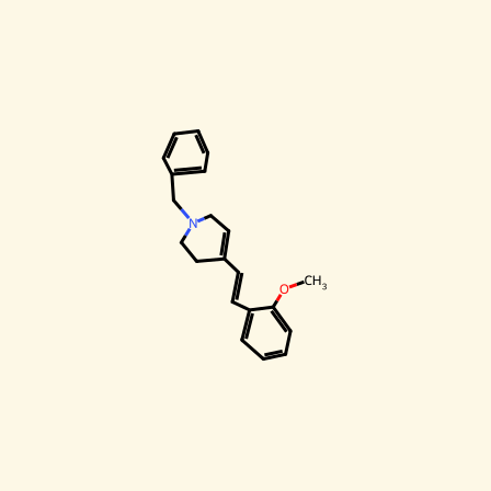 COc1ccccc1C=CC1=CCN(Cc2ccccc2)CC1